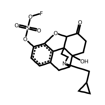 O=C1CCC2(O)C3Cc4ccc(OS(=O)(=O)OF)c5c4C2(CCN3CC2CC2)C1O5